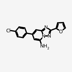 Nc1cc(-c2ccc(Cl)cc2)cc2nc(-c3ccco3)nn12